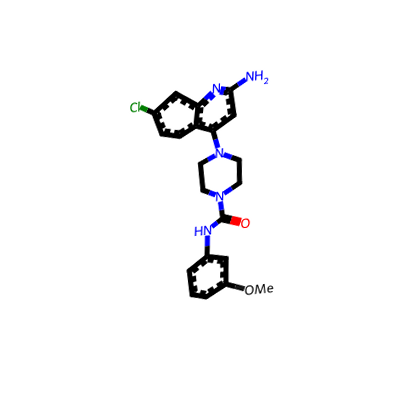 COc1cccc(NC(=O)N2CCN(c3cc(N)nc4cc(Cl)ccc34)CC2)c1